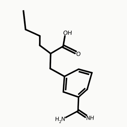 CCCCC(Cc1cccc(C(=N)N)c1)C(=O)O